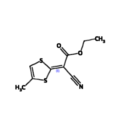 CCOC(=O)/C(C#N)=C1\SC=C(C)S1